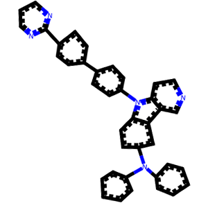 c1ccc(N(c2ccccc2)c2ccc3c(c2)c2cnccc2n3-c2ccc(-c3ccc(-c4ncccn4)cc3)cc2)cc1